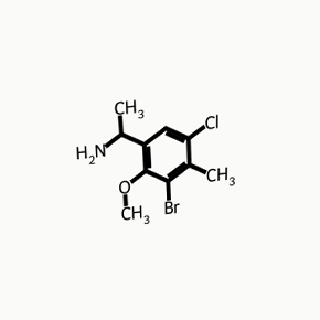 COc1c(C(C)N)cc(Cl)c(C)c1Br